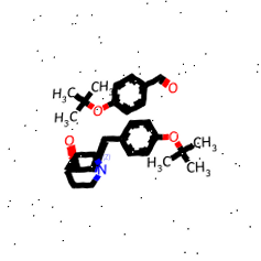 CC(C)(C)Oc1ccc(/C=C2/C(=O)C3CCN2CC3)cc1.CC(C)(C)Oc1ccc(C=O)cc1